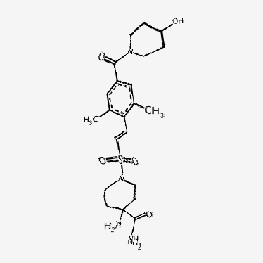 Cc1cc(C(=O)N2CCC(O)CC2)cc(C)c1C=CS(=O)(=O)N1CCC(N)(C(N)=O)CC1